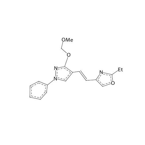 CCc1nc(C=Cc2cn(-c3ccccc3)nc2OCOC)co1